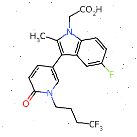 Cc1c(-c2ccc(=O)n(CCCC(F)(F)F)c2)c2cc(F)ccc2n1CC(=O)O